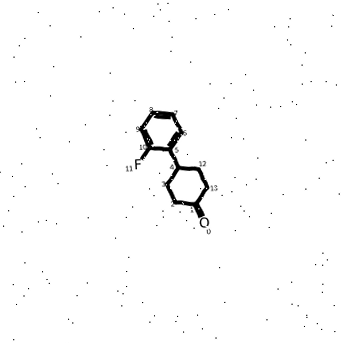 O=C1CCC(c2ccccc2F)CC1